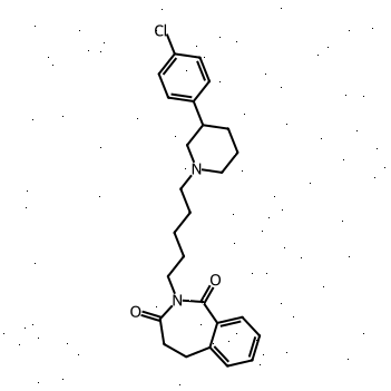 O=C1CCc2ccccc2C(=O)N1CCCCCN1CCCC(c2ccc(Cl)cc2)C1